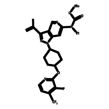 C=C(C)c1nn(C2CCC(Oc3nccc(C(F)(F)F)c3F)CC2)c2cc(N(CC)C(=O)OC(C)(C)C)ncc12